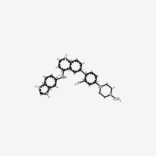 CN1CCN(c2ccc(-c3ccc4nccc(Nc5ccc6scnc6c5)c4c3)c(F)c2)CC1